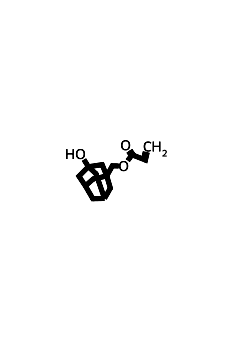 C=CC(=O)OCC12CC3CC(CC(O)(C3)C1)C2